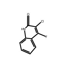 O=c1[nH]c2ccccc2c(F)c1Cl